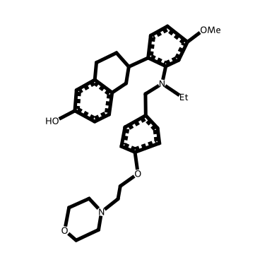 CCN(Cc1ccc(OCCN2CCOCC2)cc1)c1cc(OC)ccc1C1CCc2cc(O)ccc2C1